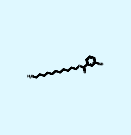 CCCCCCCCCCCCOC(=O)c1cccc([NH])c1